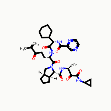 C=C(C)C(=O)CC[C@H](NC(=O)[C@@H](NC(=O)c1cnccn1)C1CCCCC1)C(=O)N1C[C@@H]2CCC[C@@H]2[C@H]1C(=O)N[C@@H](CCC)C(=O)C(=O)NC1CC1